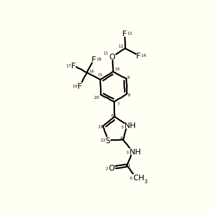 CC(=O)NC1NC(c2ccc(OC(F)F)c(C(F)(F)F)c2)=CS1